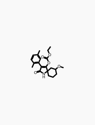 CCOC(=O)OC1=C(c2cc(C)ccc2C)C(=O)NC12CCCC(OC)C2